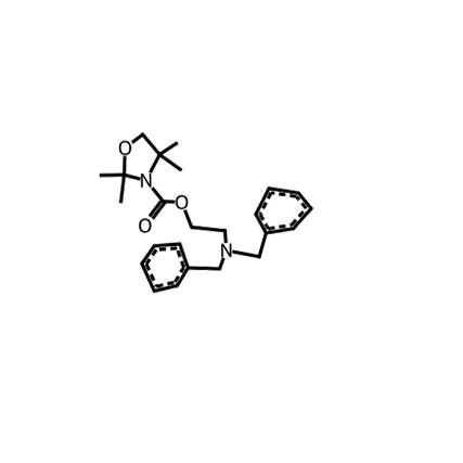 CC1(C)COC(C)(C)N1C(=O)OCCN(Cc1ccccc1)Cc1ccccc1